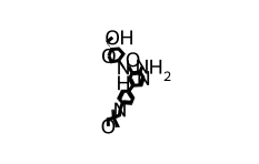 Nc1ncc(-c2ccc(N3CC4(COC4)C3)cc2)cc1C(=O)N[C@@H]1CC[C@@H](CO)OC1